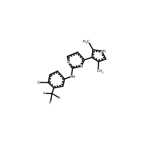 Cc1c[nH]c(C)c1-c1ccnc(Nc2ccc(Cl)c(C(F)(F)F)c2)n1